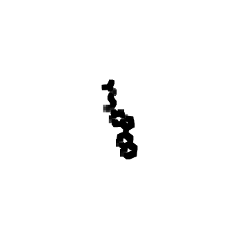 CC(C)OCCNc1ncc2c(-c3cnc4ncccc4c3)ccn2n1